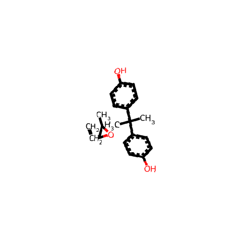 C=C.CC(C)(c1ccc(O)cc1)c1ccc(O)cc1.CC1CO1